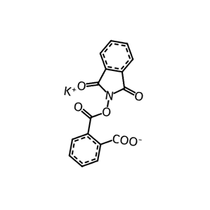 O=C([O-])c1ccccc1C(=O)ON1C(=O)c2ccccc2C1=O.[K+]